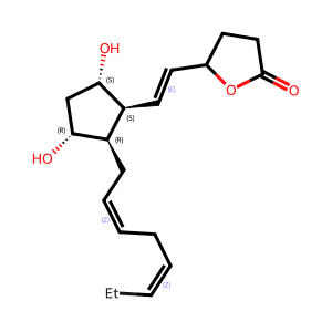 CC/C=C\C/C=C\C[C@@H]1[C@H](/C=C/C2CCC(=O)O2)[C@@H](O)C[C@H]1O